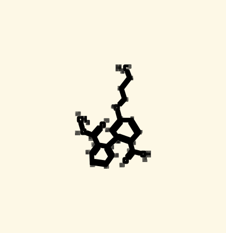 CCCCOc1ccc(C(=O)O)c(-c2ccccc2C(=O)OC)c1